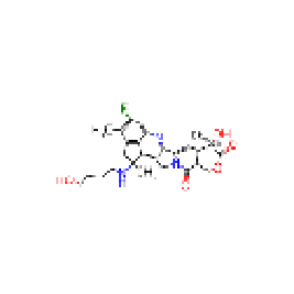 CC[C@@]1(O)C(=O)OCc2c1cc1n(c2=O)Cc2c-1nc1cc(F)c(C)c3c1c2C(C)(NCCCCO)C3